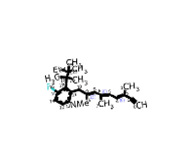 C#C/C(C)=C/C=C(C)/C=C(/Cc1cccc(F)c1C(C)(C)C(C)(C)CC)NC